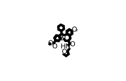 COC(=O)c1ccc2c(c1)N1CC(C(=O)NCC3CCCO3)Cc3cc(OC)ccc3C1C2C1CCCCC1